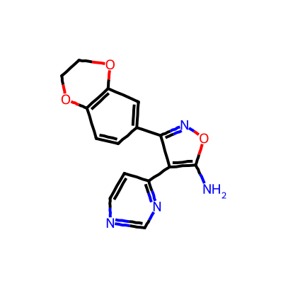 Nc1onc(-c2ccc3c(c2)OCCO3)c1-c1ccncn1